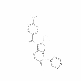 O=C(c1ccc(OC(F)(F)F)cc1)c1c([N+](=O)[O-])sc2c1ccc(=O)n2-c1ccccc1